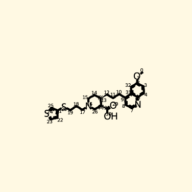 COc1ccc2nccc(CCC[C@@H]3CCN(CCCSc4ccsc4)C[C@@H]3C(=O)O)c2c1